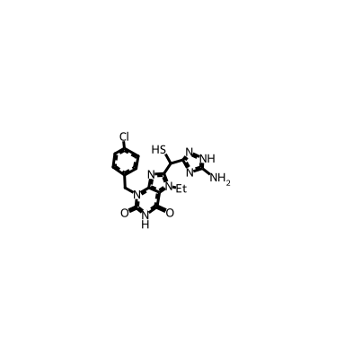 CCn1c(C(S)c2n[nH]c(N)n2)nc2c1c(=O)[nH]c(=O)n2Cc1ccc(Cl)cc1